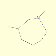 CC1CCCCN(C)C1